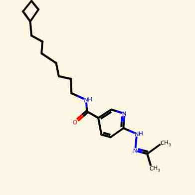 CC(C)=NNc1ccc(C(=O)NCCCCCCCC2CCC2)cn1